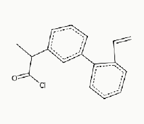 C=Cc1ccccc1-c1cccc(C(C)C(=O)Cl)c1